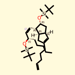 C=CCCCC1=C[C@@H]2C[C@@H](O[Si](C)(C)C(C)(C)C)[C@@H](/C=C\[C@H](CCCCC)O[Si](C)(C)C(C)(C)C)[C@@H]2C1